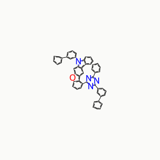 c1ccc(-c2cccc(-c3nc(-c4ccccc4)nc(-c4cccc5oc6cc7c(cc6c45)c4ccccc4n7-c4cccc(-c5ccccc5)c4)n3)c2)cc1